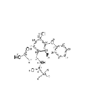 CC(C)(C)[S@@+]([O-])N[C@H](CC(=O)O)c1ccc(Cl)c(Oc2ccccc2)c1F